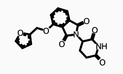 O=C1CCC(N2C(=O)c3cccc(OCc4ccco4)c3C2=O)C(=O)N1